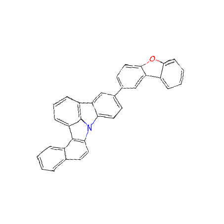 c1ccc2c(c1)ccc1c2c2cccc3c4cc(-c5ccc6oc7ccccc7c6c5)ccc4n1c32